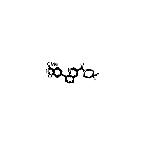 COc1noc2cc(-c3cccc4cc(C(=O)N5CCC(F)(F)CC5)cnc34)ccc12